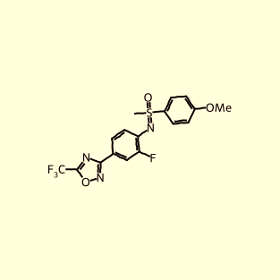 COc1ccc(S(C)(=O)=Nc2ccc(-c3noc(C(F)(F)F)n3)cc2F)cc1